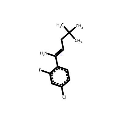 CC(C)(C)C/C=C(\N)c1ccc(Cl)cc1F